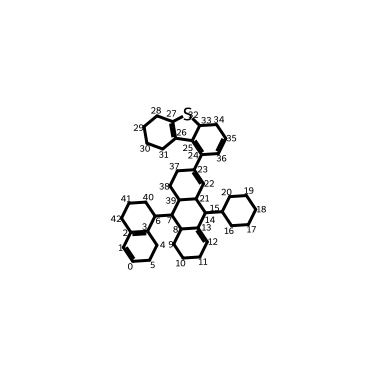 C1=CC2=C(CC1)C(C1C3CCCC=C3C(C3CCCCC3)C3C=C(C4=C5C6=C(CCCC6)SC5CC=C4)CCC31)CCC2